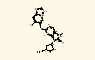 Cc1cc2ncnn2cc1Nc1ncc2c(n1)n(C1CCC(O)C1)c(=O)n2C